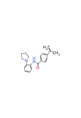 C=C(C)c1ccc(C(=O)Nc2ccccc2N2CCCC2)cc1